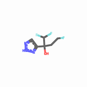 OC(CCF)(c1cn[nH]n1)C(F)F